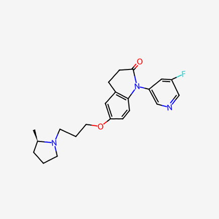 C[C@@H]1CCCN1CCCOc1ccc2c(c1)CCC(=O)N2c1cncc(F)c1